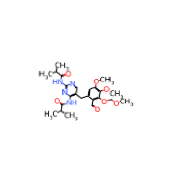 COCOc1c(C=O)c(Cc2cnc(NC(=O)C(C)C)nc2NC(=O)C(C)C)cc(OC)c1OC